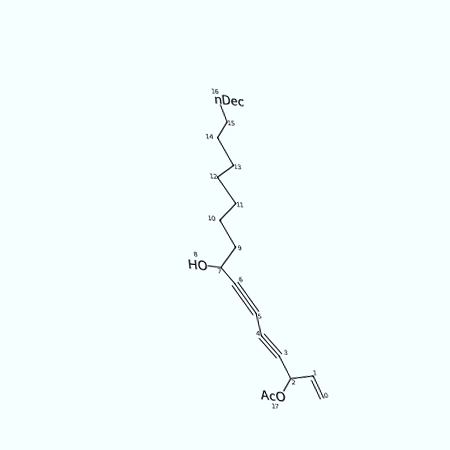 C=CC(C#CC#CC(O)CCCCCCCCCCCCCCCCC)OC(C)=O